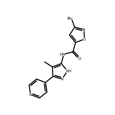 CCC(C)c1cc(C(=O)Nc2[nH]nc(-c3ccncc3)c2C)on1